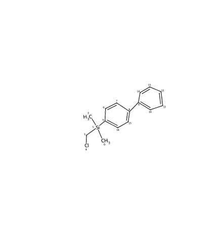 C[Si](C)(CCl)c1ccc(-c2ccccc2)cc1